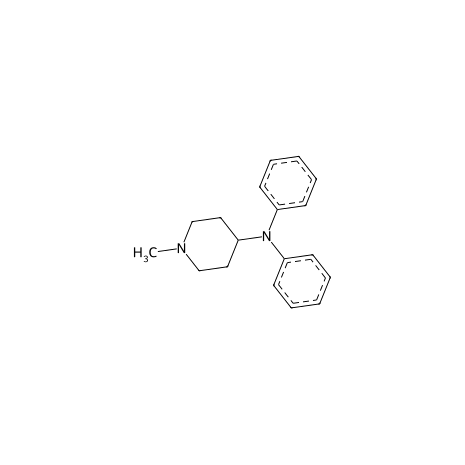 CN1CCC(N(c2ccccc2)c2ccccc2)CC1